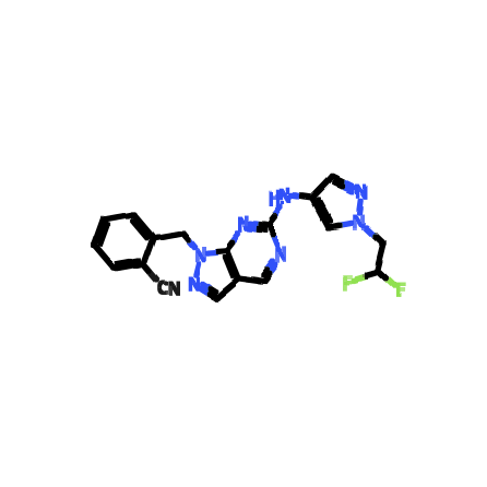 N#Cc1ccccc1Cn1ncc2cnc(Nc3cnn(CC(F)F)c3)nc21